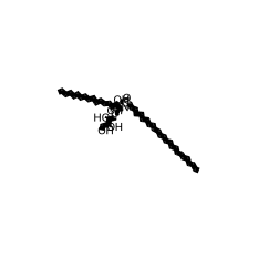 CCCCCCCCCCCCCCCCCCCCCCCCCS(C)(=O)=N[C@@H](COC[C@H](O)[C@@H](O)CO)[C@H](O)[C@H](O)CCCCCCCCCCCCCC